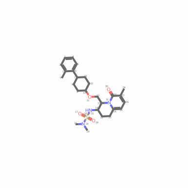 Cc1ccccc1C1CCC(OCC2C(NS(=O)(=O)N(C)C)CCc3ccc(C)c(=O)n32)CC1